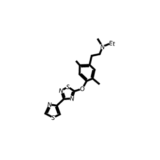 CCN(C)CCc1cc(C)c(Oc2nc(-c3cscn3)ns2)cc1C